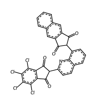 O=C1c2c(Cl)c(Cl)c(Cl)c(Cl)c2C(=O)C1c1ccc2cccc(C3C(=O)c4cc5ccccc5cc4C3=O)c2n1